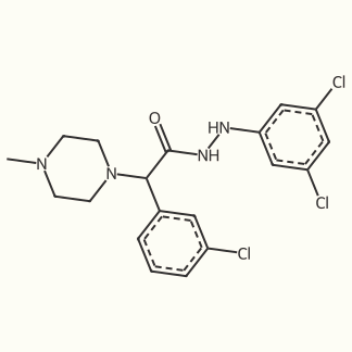 CN1CCN(C(C(=O)NNc2cc(Cl)cc(Cl)c2)c2cccc(Cl)c2)CC1